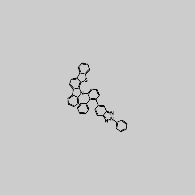 c1ccc(-c2c(-c3ccc4nn(-c5ccccc5)nc4c3)cccc2-n2c3ccccc3c3ccc4c5ccccc5sc4c32)cc1